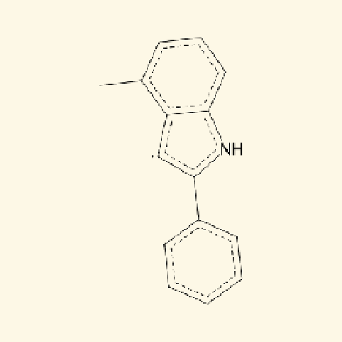 Cc1cccc2[nH]c(-c3ccccc3)[c]c12